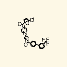 O=C(c1ccc(-c2cccc(C(F)(F)F)c2)cc1)N1CC(N2CCN(C(=O)c3ccc(Cl)o3)CC2)C1